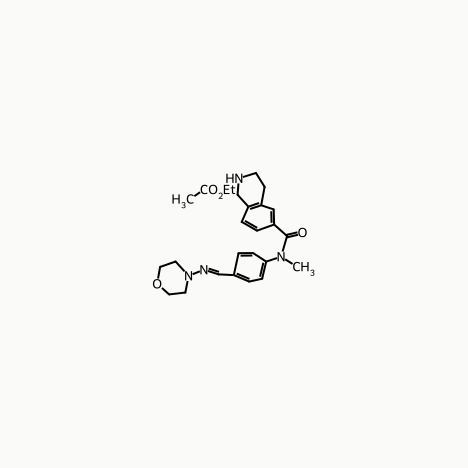 CCOC(C)=O.CN(C(=O)c1ccc2c(c1)CCNC2)c1ccc(C=NN2CCOCC2)cc1